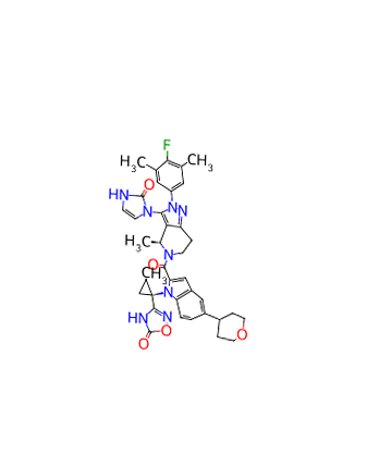 Cc1cc(-n2nc3c(c2-n2cc[nH]c2=O)[C@H](C)N(C(=O)c2cc4cc(C5CCOCC5)ccc4n2[C@@]2(c4noc(=O)[nH]4)C[C@@H]2C)CC3)cc(C)c1F